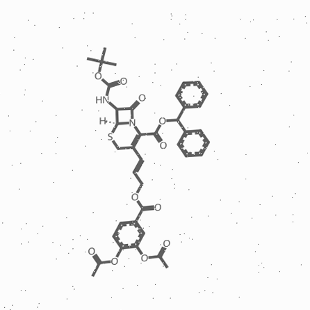 CC(=O)Oc1ccc(C(=O)OC/C=C/C2=C(C(=O)OC(c3ccccc3)c3ccccc3)N3C(=O)C(NC(=O)OC(C)(C)C)[C@@H]3SC2)cc1OC(C)=O